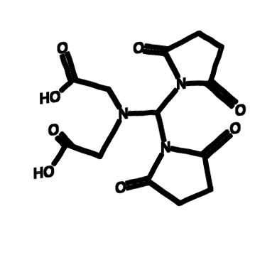 O=C(O)CN(CC(=O)O)C(N1C(=O)CCC1=O)N1C(=O)CCC1=O